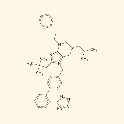 CC(C)CN1Cc2c(nc(CC(C)(C)C)n2Cc2ccc(-c3ccccc3-c3nnn[nH]3)cc2)N(CCc2ccccc2)C1